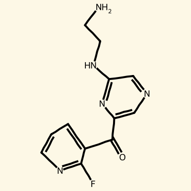 NCCNc1cncc(C(=O)c2cccnc2F)n1